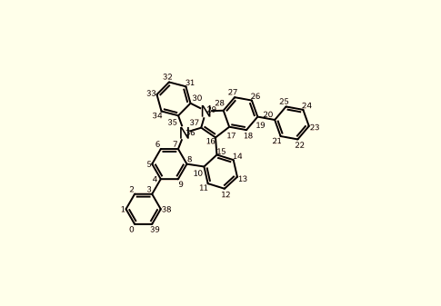 c1ccc(-c2ccc3c(c2)-c2ccccc2-c2c4cc(-c5ccccc5)ccc4n4c5ccccc5n-3c24)cc1